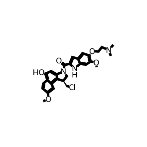 COc1ccc2c(O)cc3c(c2c1)[C@H](CCl)CN3C(=O)c1cc2cc(OCCN(C)C)c(OC)cc2[nH]1